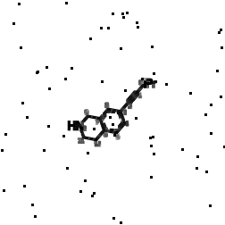 CC(C)C#Cc1ccc2c(c1)CNCC2